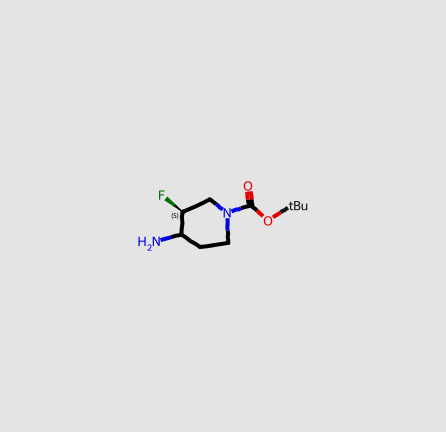 CC(C)(C)OC(=O)N1CCC(N)[C@@H](F)C1